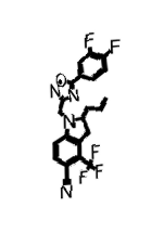 CCCC1Cc2c(ccc(C#N)c2C(F)(F)F)N1Cc1noc(-c2ccc(F)c(F)c2)n1